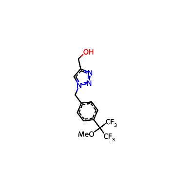 COC(c1ccc(Cn2cc(CO)nn2)cc1)(C(F)(F)F)C(F)(F)F